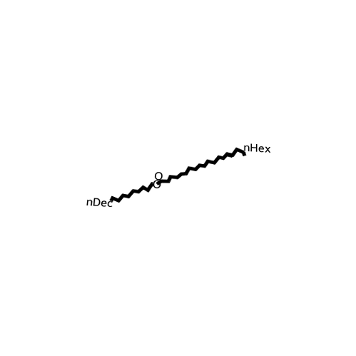 CCCCCCCCCCCCCCCCCCCOC(=O)CCCCCCCCCCCCCC=CCC(C)CCCCCC